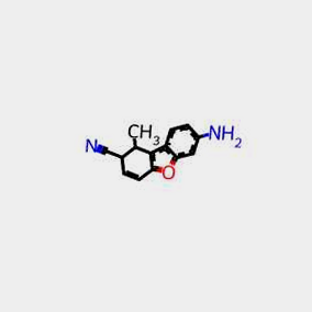 CC1c2c(oc3cc(N)ccc23)C=CC1C#N